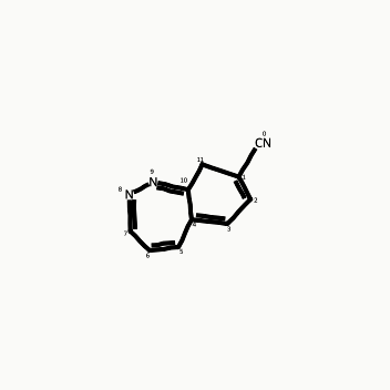 N#CC1=CC=C2C=CC=NN=C2C1